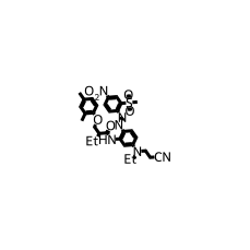 CCC(COc1ccc(C)cc1C)C(=O)Nc1cc(N(CC)CCC#N)ccc1N=Nc1ccc([N+](=O)[O-])cc1S(C)(=O)=O